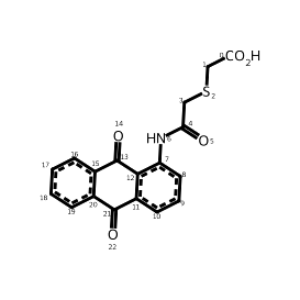 O=C(O)CSCC(=O)Nc1cccc2c1C(=O)c1ccccc1C2=O